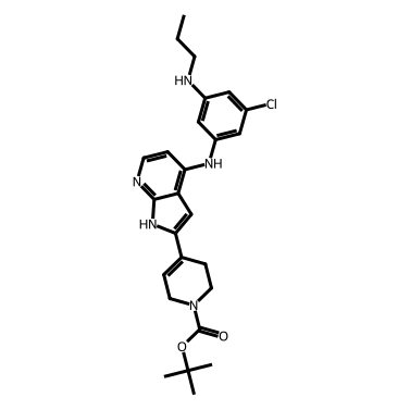 CCCNc1cc(Cl)cc(Nc2ccnc3[nH]c(C4=CCN(C(=O)OC(C)(C)C)CC4)cc23)c1